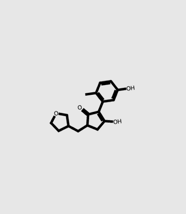 Cc1ccc(O)cc1C1=C(O)CC(CC2CCOC2)C1=O